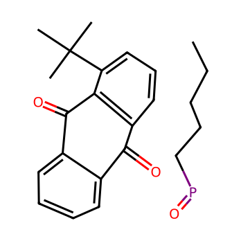 CC(C)(C)c1cccc2c1C(=O)c1ccccc1C2=O.CCCCCP=O